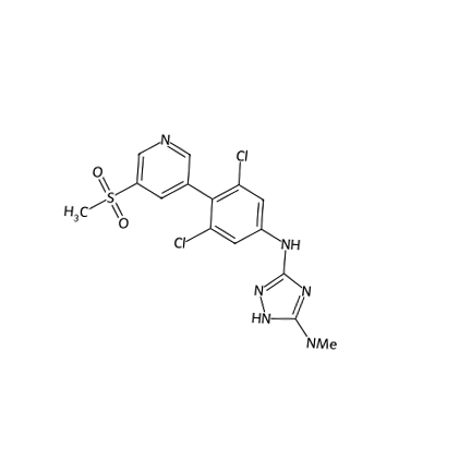 CNc1nc(Nc2cc(Cl)c(-c3cncc(S(C)(=O)=O)c3)c(Cl)c2)n[nH]1